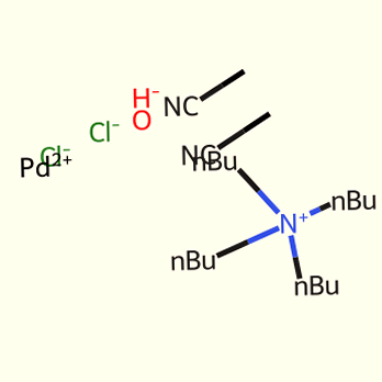 CC#N.CC#N.CCCC[N+](CCCC)(CCCC)CCCC.[Cl-].[Cl-].[OH-].[Pd+2]